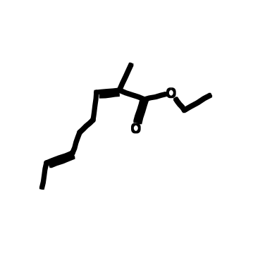 CC=CCCC=C(C)C(=O)OCC